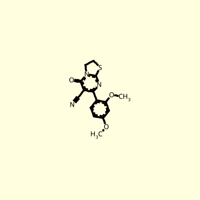 COc1ccc(-c2nc3n(c(=O)c2C#N)CCS3)c(OC)c1